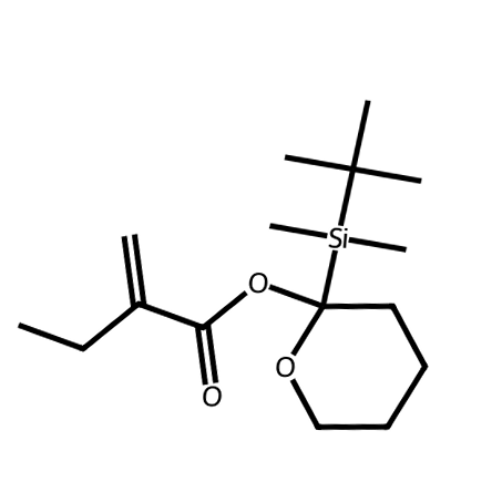 C=C(CC)C(=O)OC1([Si](C)(C)C(C)(C)C)CCCCO1